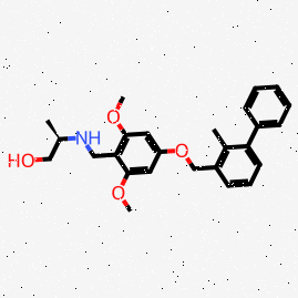 COc1cc(OCc2cccc(-c3ccccc3)c2C)cc(OC)c1CN[C@H](C)CO